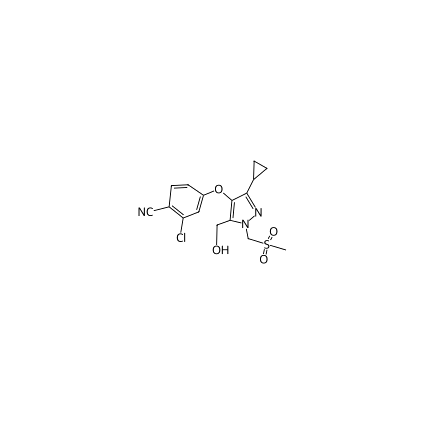 CS(=O)(=O)Cn1nc(C2CC2)c(Oc2ccc(C#N)c(Cl)c2)c1CO